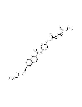 C=CC(=O)CC#Cc1ccc2cc(C(=O)Oc3ccc(CCC(=O)OCOC(=O)C=C)cc3)ccc2c1